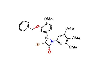 COc1ccc([C@H]2C(Br)C(=O)N2c2cc(OC)c(OC)c(OC)c2)cc1OCc1ccccc1